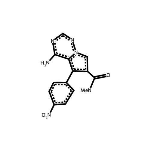 CNC(=O)c1cn2ncnc(N)c2c1-c1ccc([N+](=O)[O-])cc1